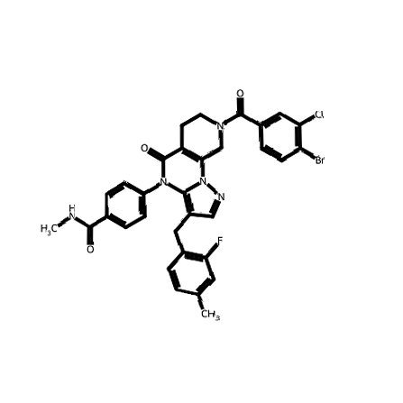 CNC(=O)c1ccc(-n2c(=O)c3c(n4ncc(Cc5ccc(C)cc5F)c24)CN(C(=O)c2ccc(Br)c(Cl)c2)CC3)cc1